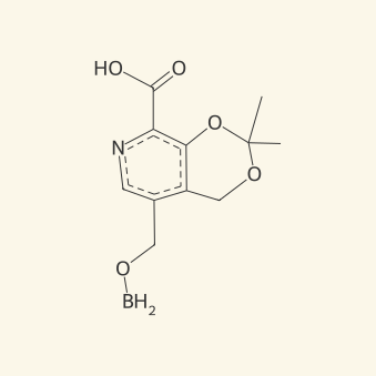 BOCc1cnc(C(=O)O)c2c1COC(C)(C)O2